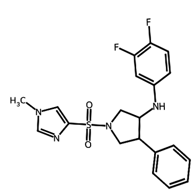 Cn1cnc(S(=O)(=O)N2CC(Nc3ccc(F)c(F)c3)C(c3ccccc3)C2)c1